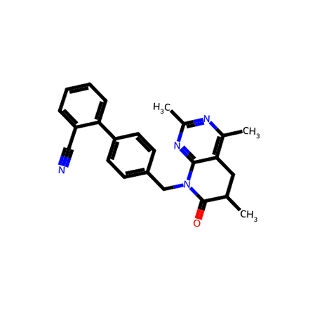 Cc1nc(C)c2c(n1)N(Cc1ccc(-c3ccccc3C#N)cc1)C(=O)C(C)C2